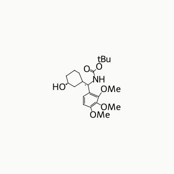 COc1ccc([C](NC(=O)OC(C)(C)C)C2CCC[C@H](O)C2)c(OC)c1OC